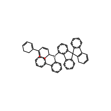 C1=CCC2=C(C=1)c1ccccc1C21c2ccccc2-c2c(N(c3ccccc3-c3ccccc3)C3C=CC(C4=CC=CCC4)=CC3)cccc21